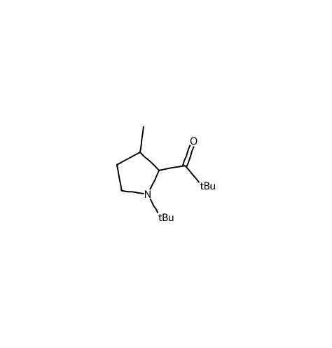 CC1CCN(C(C)(C)C)C1C(=O)C(C)(C)C